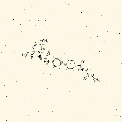 COC(=O)CNC(=O)[C@H]1CC[C@H](c2ccc(NC(=O)Nc3cc(C)ccc3OC)cc2)CC1